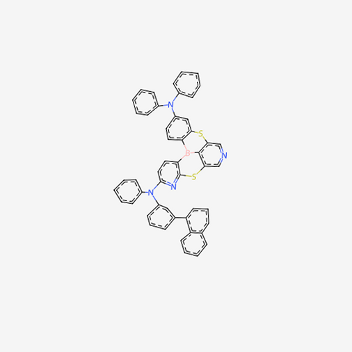 c1ccc(N(c2ccccc2)c2ccc3c(c2)Sc2cncc4c2B3c2ccc(N(c3ccccc3)c3cccc(-c5cccc6ccccc56)c3)nc2S4)cc1